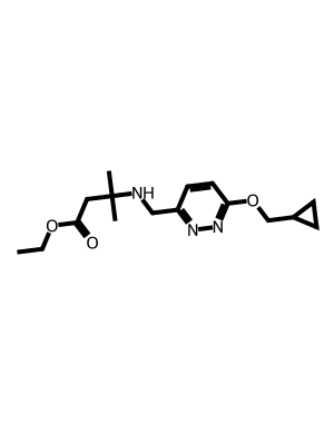 CCOC(=O)CC(C)(C)NCc1ccc(OCC2CC2)nn1